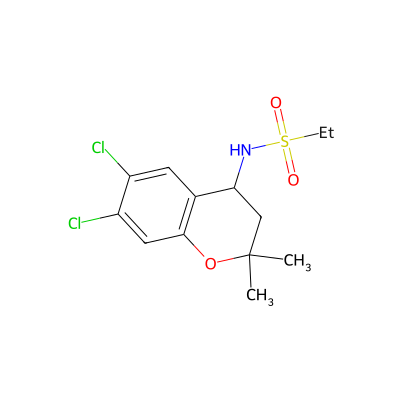 CCS(=O)(=O)NC1CC(C)(C)Oc2cc(Cl)c(Cl)cc21